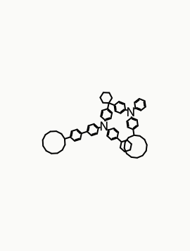 c1ccc(N(c2ccc(C3CCCCCCCCCCC3)cc2)c2ccc(C3(c4ccc(N(c5ccc(-c6ccc(C7CCCCCCCCCCC7)cc6)cc5)c5ccc(C6CCCCC6)cc5)cc4)CCCCC3)cc2)cc1